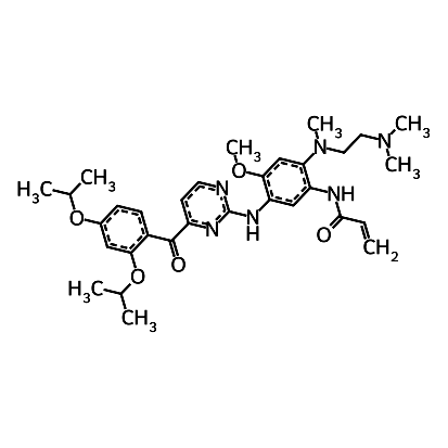 C=CC(=O)Nc1cc(Nc2nccc(C(=O)c3ccc(OC(C)C)cc3OC(C)C)n2)c(OC)cc1N(C)CCN(C)C